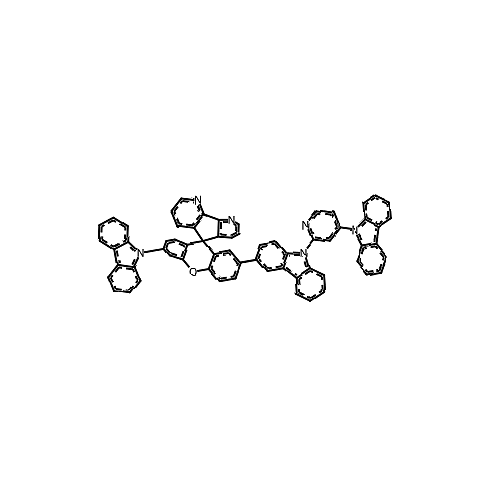 c1cnc2c(c1)C1(c3ccc(-n4c5ccccc5c5ccccc54)cc3Oc3ccc(-c4ccc5c(c4)c4ccccc4n5-c4cc(-n5c6ccccc6c6ccccc65)ccn4)cc31)c1cccnc1-2